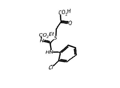 CCOC(=O)N=C(Nc1ccccc1Cl)SCC(=O)C(=O)O